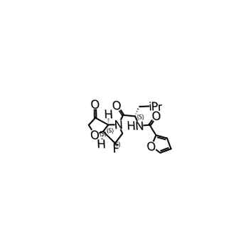 CC(C)C[C@H](NC(=O)c1ccco1)C(=O)N1C[C@H](F)[C@H]2OCC(=O)[C@H]21